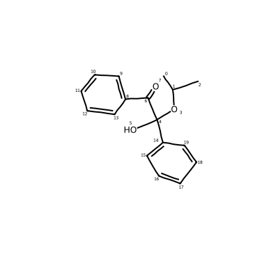 CC(C)OC(O)(C(=O)c1ccccc1)c1ccccc1